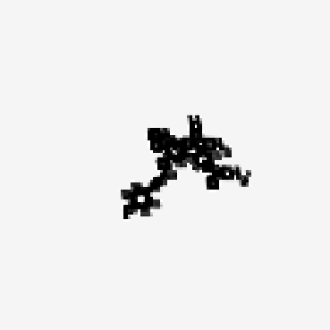 [CH2]C(=O)N1C[C@@H](c2ccc(OC)c(OCC#Cc3ccc(F)cc3)c2)[C@](C)([C@@H](C)O)C1